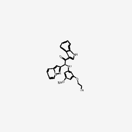 COc1cc(NC(C(=O)c2c[nH]c3ccccc23)c2cc3ccccn3n2)cc(OCCO)c1